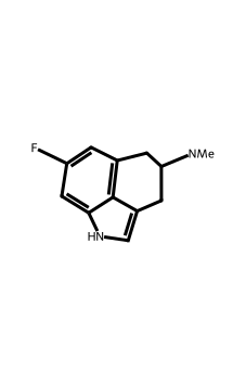 CNC1Cc2c[nH]c3cc(F)cc(c23)C1